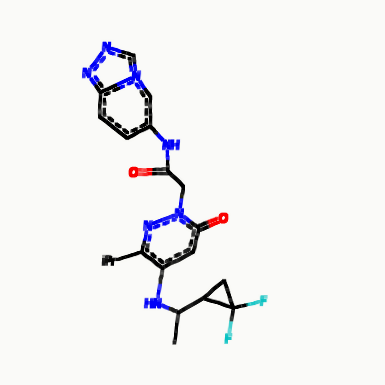 CC(C)c1nn(CC(=O)Nc2ccc3nncn3c2)c(=O)cc1NC(C)C1CC1(F)F